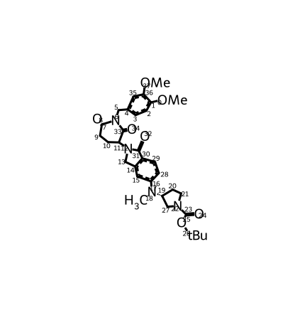 COc1ccc(CN2C(=O)CCC(N3Cc4cc(N(C)[C@@H]5CCN(C(=O)OC(C)(C)C)C5)ccc4C3=O)C2=O)cc1OC